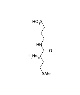 CSCC[C@@H](N)C(=O)NCCCS(=O)(=O)O